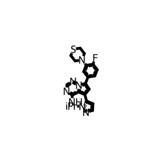 CC(C)n1nccc1-c1cc(-c2ccc(F)c(N3CCSCC3)c2)n2ncnc(N)c12